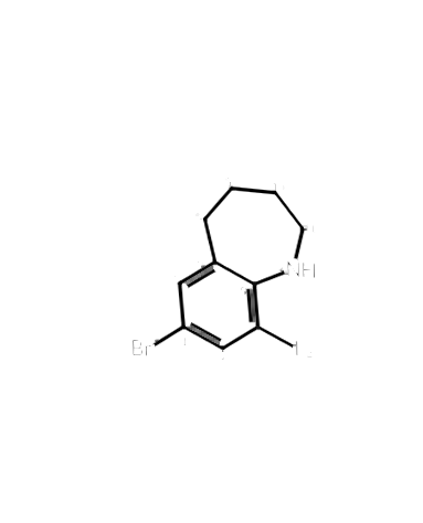 Brc1cc(I)c2c(c1)CCCCN2